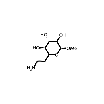 CO[C@H]1OC(CCN)[C@@H](O)[C@H](O)C1O